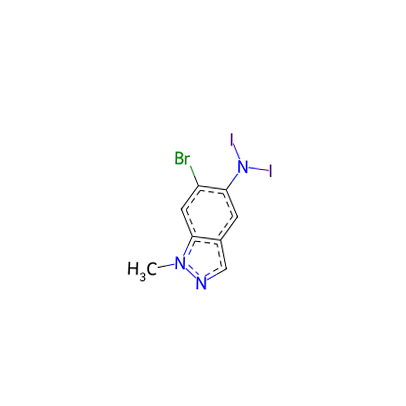 Cn1ncc2cc(N(I)I)c(Br)cc21